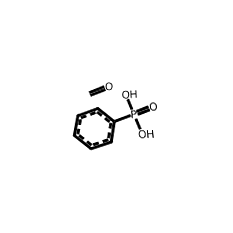 C=O.O=P(O)(O)c1ccccc1